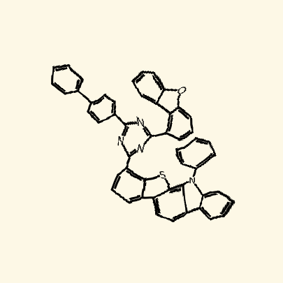 c1ccc(-c2ccc(-c3nc(-c4cccc5c4sc4c5ccc5c6ccccc6n(-c6ccccc6)c54)nc(-c4cccc5oc6ccccc6c45)n3)cc2)cc1